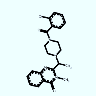 CC(c1nc2ccccc2c(=O)n1C)N1CCN(C(=O)c2ccccc2Cl)CC1